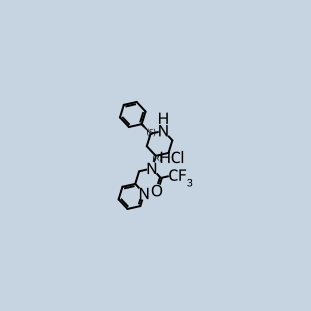 Cl.O=C(N(Cc1ccccn1)[C@@H]1CCN[C@H](c2ccccc2)C1)C(F)(F)F